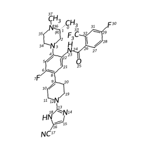 C[C@@H]1CN(c2cc(F)c(C3=CCN(c4ncc(C#N)[nH]4)CC3)cc2NC(=O)c2ccc(F)cc2C(F)(F)F)CCN1C